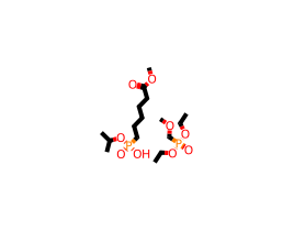 CCOP(=O)(COC)OCC.COC(=O)CCCCCP(=O)(O)OC(C)C